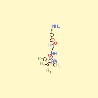 Cc1sc2c(c1C)C(c1ccc(Cl)cc1)=N[C@@H](CC(=O)NCC#CCNC(=O)c1ccc(-c3ccc(C#CCN)cc3)o1)c1nnc(C)n1-2